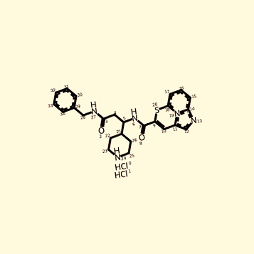 Cl.Cl.O=C(CC(NC(=O)C1=Cc2cnc3cccc(n23)S1)C1CCNCC1)NCc1ccccc1